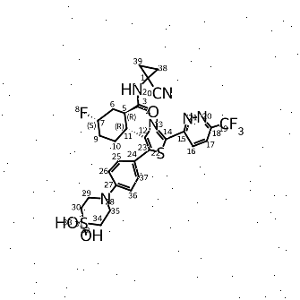 N#CC1(NC(=O)[C@@H]2C[C@@H](F)CC[C@H]2c2nc(-c3ccc(C(F)(F)F)nn3)sc2-c2ccc(N3CCS(O)(O)CC3)cc2)CC1